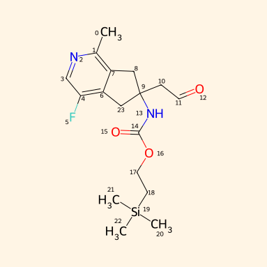 Cc1ncc(F)c2c1CC(CC=O)(NC(=O)OCC[Si](C)(C)C)C2